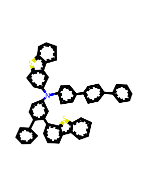 c1ccc(-c2ccc(-c3ccc(N(c4ccc(-c5ccccc5)c(-c5cccc6c5sc5ccccc56)c4)c4ccc5sc6ccccc6c5c4)cc3)cc2)cc1